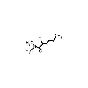 CCCCC(F)C(=O)N(C)C